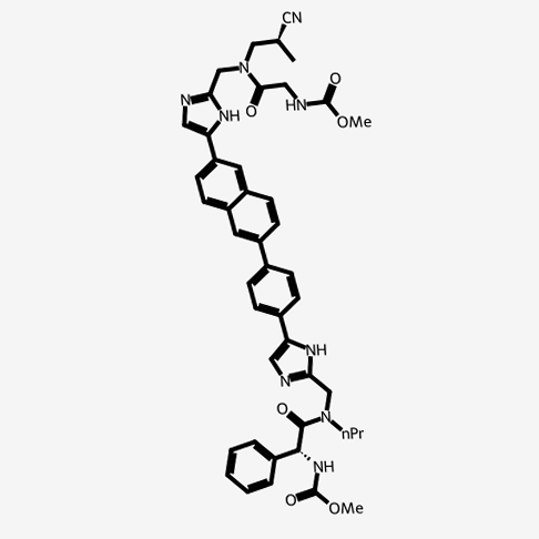 CCCN(Cc1ncc(-c2ccc(-c3ccc4cc(-c5cnc(CN(C[C@H](C)C#N)C(=O)CNC(=O)OC)[nH]5)ccc4c3)cc2)[nH]1)C(=O)[C@H](NC(=O)OC)c1ccccc1